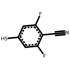 N#Cc1c(F)cc(S)cc1F